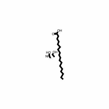 CCCCCCCCCCCCCCCCCC(=O)O.CCO.CCO.N